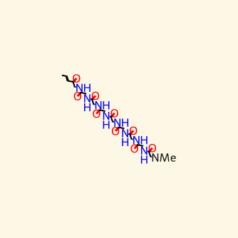 C/C=C/C(=O)CNC(=O)CNC(=O)CNC(=O)CNC(=O)CNC(=O)CNC(=O)CNC(=O)CNC(=O)CNC